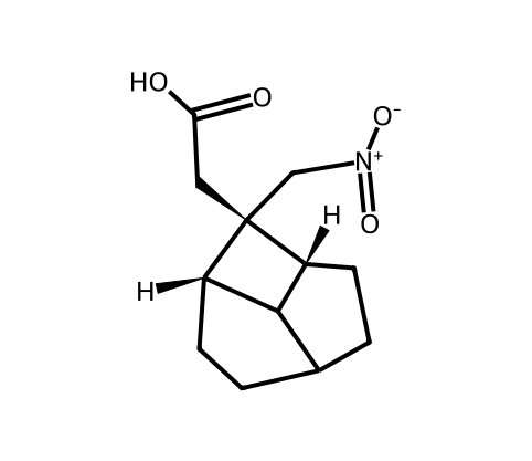 O=C(O)C[C@@]1(C[N+](=O)[O-])[C@@H]2CCC3CC[C@H]1C32